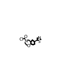 O=C(Cl)N1CCOc2ccc(-c3cncs3)cc2C1